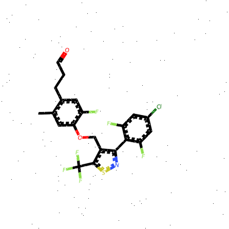 Cc1cc(OCc2c(-c3c(F)cc(Cl)cc3F)nsc2C(F)(F)F)c(F)cc1CCC=O